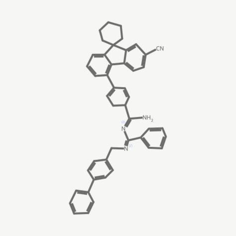 N#Cc1ccc2c(c1)C1(CCCCC1)c1cccc(C3=CCC(/C(N)=N/C(=N\Cc4ccc(-c5ccccc5)cc4)c4ccccc4)C=C3)c1-2